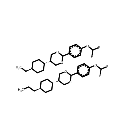 CCC[C@H]1CC[C@H](C2COC(c3ccc(OC(F)F)cc3)OC2)CC1.CC[C@H]1CC[C@H](C2COC(c3ccc(OC(F)F)cc3)OC2)CC1